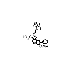 COc1cc2c(cc1-c1ccncc1)-c1nn(CCCNC(=O)OC(C)(C)C)c(C(=O)O)c1CC2